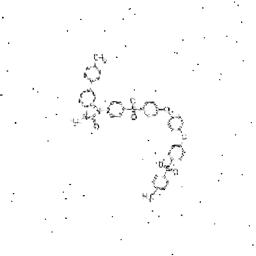 Cc1ccc(-c2ccc3c(c2)n(-c2ccc(S(=O)(=O)c4ccc(Oc5ccc(Oc6ccc(S(=O)(=O)c7ccc(C)cc7)cc6)cc5)cc4)cc2)c(=O)n3C)cc1